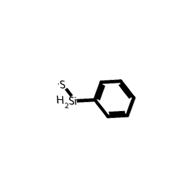 [S][SiH2]c1ccccc1